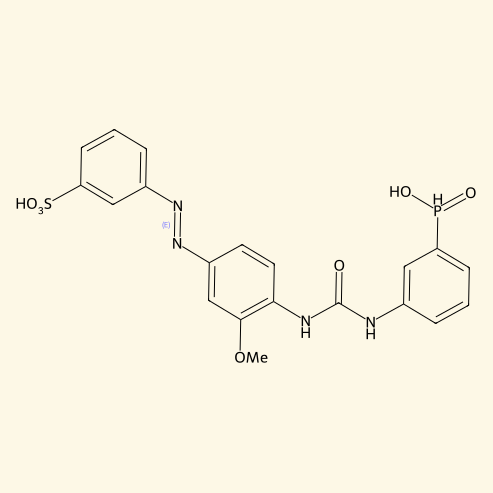 COc1cc(/N=N/c2cccc(S(=O)(=O)O)c2)ccc1NC(=O)Nc1cccc([PH](=O)O)c1